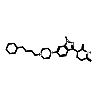 C=C1CCC(c2nn(C)c3cc(N4CCN(CCCCC5CCCCC5)CC4)ccc23)C(=C)N1